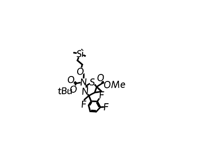 COC(=O)C12CC1C(CF)(c1cccc(F)c1F)N=C(N(COCC[Si](C)(C)C)C(=O)OC(C)(C)C)S2